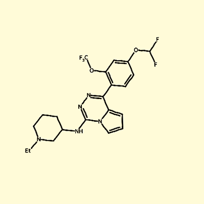 CCN1CCCC(Nc2nnc(-c3ccc(OC(F)F)cc3OC(F)(F)F)c3cccn23)C1